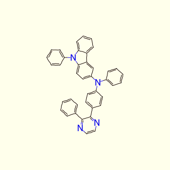 c1ccc(-c2nccnc2-c2ccc(N(c3ccccc3)c3ccc4c(c3)c3ccccc3n4-c3ccccc3)cc2)cc1